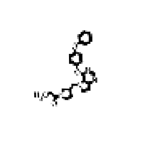 C=CC(=O)N1CCC(Cn2ccc3ncnc(Oc4ccc(Oc5ccccc5)cc4)c32)C1